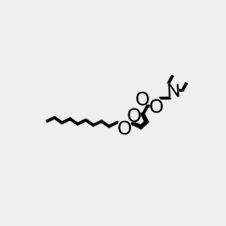 CCCCCCCCCCOc1ccc(C(=O)OCCN(CC)CC)o1